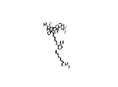 CCCCCC/C=C\[C@H]1CCC(=O)[C@@H]1CCCCCC(OC(C)(C)OC)C(=O)OCC